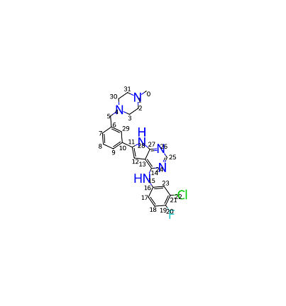 CN1CCN(Cc2cccc(-c3cc4c(Nc5ccc(F)c(Cl)c5)ncnc4[nH]3)c2)CC1